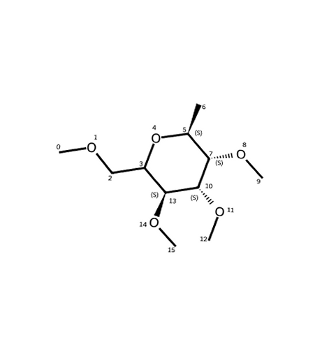 COCC1O[C@@H](C)[C@H](OC)[C@H](OC)[C@H]1OC